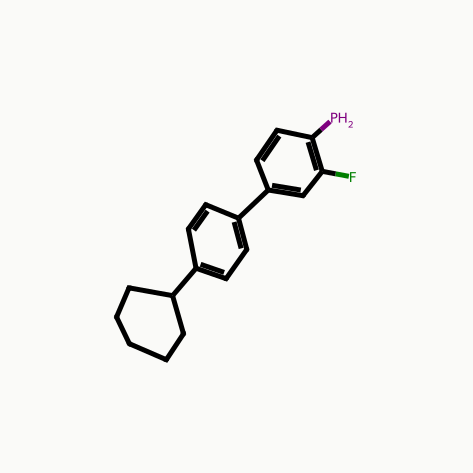 Fc1cc(-c2ccc(C3CCCCC3)cc2)ccc1P